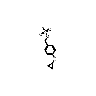 CS(=O)(=O)OCc1ccc(OC2CC2)cc1